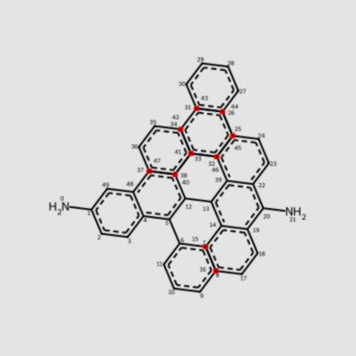 Nc1ccc2c(-c3ccccc3)c(-c3c4ccccc4c(N)c4ccc(-c5ccccc5)c(-c5ccccc5)c34)c(-c3ccccc3)cc2c1